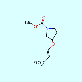 CCOC(=O)C=COC1CCN(C(=O)OC(C)(C)C)C1